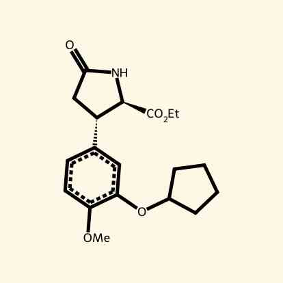 CCOC(=O)[C@@H]1NC(=O)C[C@H]1c1ccc(OC)c(OC2CCCC2)c1